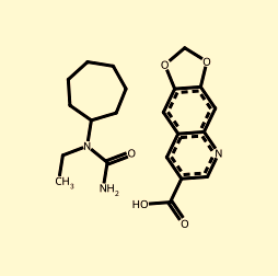 CCN(C(N)=O)C1CCCCCC1.O=C(O)c1cnc2cc3c(cc2c1)OCO3